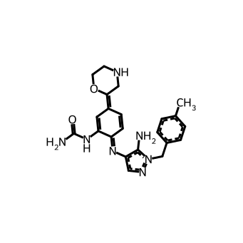 Cc1ccc(Cn2ncc(N=C3C=CC(=C4CNCCO4)C=C3NC(N)=O)c2N)cc1